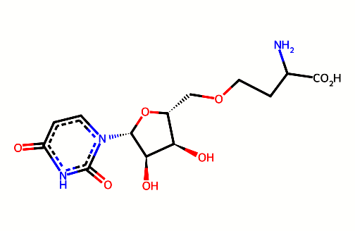 NC(CCOC[C@H]1O[C@@H](n2ccc(=O)[nH]c2=O)[C@H](O)[C@@H]1O)C(=O)O